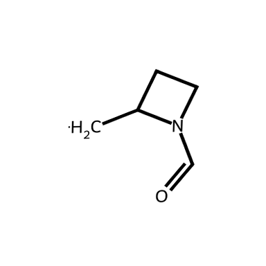 [CH2]C1CCN1C=O